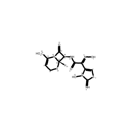 N=c1scc(C(=NO)C(=O)N[C@@H]2C(=O)N3C(C(=O)O)=CCS[C@@H]23)n1O